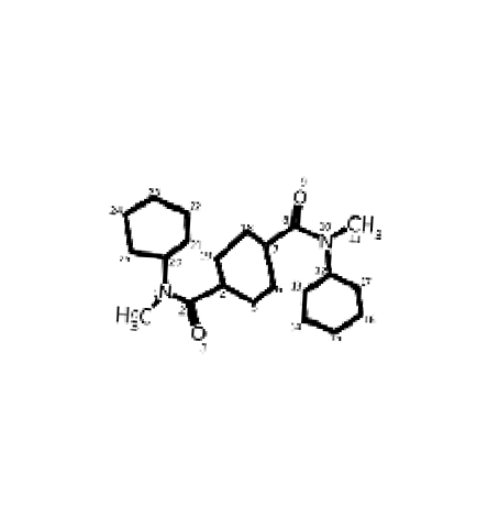 CN(C(=O)C1CCC(C(=O)N(C)C2CCCCC2)CC1)C1CCCCC1